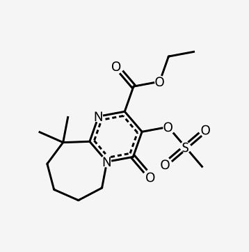 CCOC(=O)c1nc2n(c(=O)c1OS(C)(=O)=O)CCCCC2(C)C